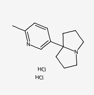 Cc1ccc(C23CCCN2CCC3)cn1.Cl.Cl